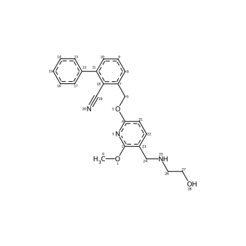 COc1nc(OCc2cccc(-c3ccccc3)c2C#N)ccc1CNCCO